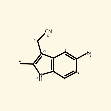 Cc1[nH]c2ccc(Br)cc2c1CC#N